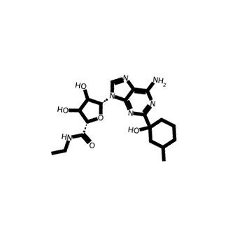 CCNC(=O)[C@H]1O[C@@H](n2cnc3c(N)nc(C4(O)CCCC(C)C4)nc32)C(O)C1O